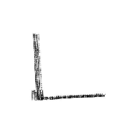 O=NO.O=NO.O=NO.O=NO.O=NO.O=NO.O=NO.[Na+].[Na+].[Na+].[Na+].[Na+].[Na+].[Na+].[Na+].[Na+].[Na+].[Na+].[Na+].[Na+].[Na+].[Na+].[Na+].[Na+].[Na+].[Na+].[Na+].[Na+].[Na+].[Na+].[Na+].[Na+].[Na+].[Na+].[Na+].[Na+].[Na+].[Na+].[Na+].[Na+].[Na+].[Na+].[Na+].[Na+].[Na+].[Na+].[Na+].[Na+].[Na+].[Na+].[Na+].[Na+].[Na+].[Na+].[Na+].[Na+].[Na+].[Na+].[Na+].[Na+].[Na+].[Na+].[Na+].[Na+].[Na+].[Na+].[Na+]